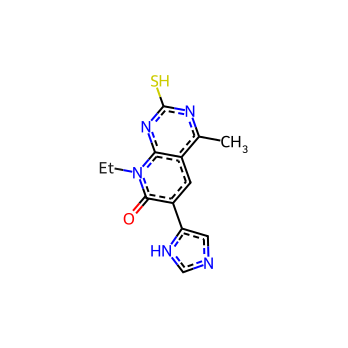 CCn1c(=O)c(-c2cnc[nH]2)cc2c(C)nc(S)nc21